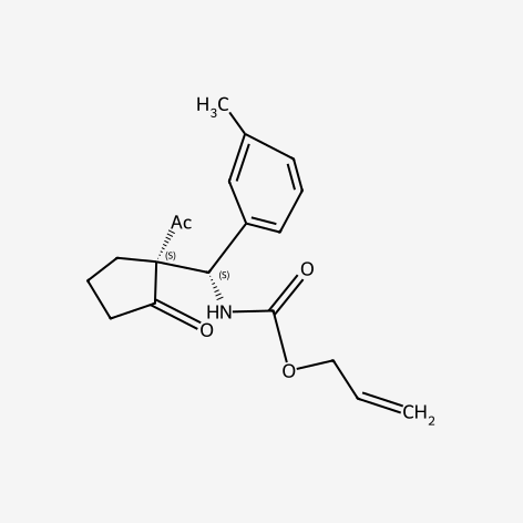 C=CCOC(=O)N[C@@H](c1cccc(C)c1)[C@]1(C(C)=O)CCCC1=O